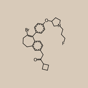 O=C(Cc1ccc2c(c1)CCCC(Br)=C2c1ccc(OC2CCN(CCCF)C2)cc1)C1CCC1